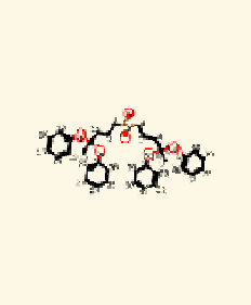 CC(CCCS(=O)(=O)CCCC(C)(Oc1ccccc1)Oc1ccccc1)(Oc1ccccc1)Oc1ccccc1